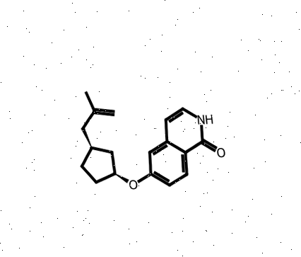 C=C(C)C[C@@H]1CC[C@H](Oc2ccc3c(=O)[nH]ccc3c2)C1